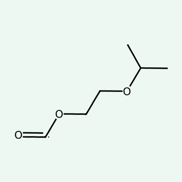 CC(C)OCCO[C]=O